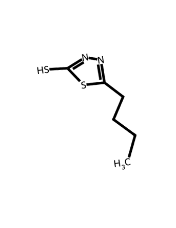 CCCCc1nnc(S)s1